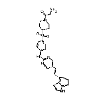 NCC(=O)N1CCC(S(=O)(=O)c2ccc(Nc3ncc(/C=C/c4cccc5[nH]ccc45)cn3)cc2)CC1